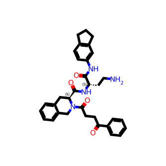 NCC[C@H](NC(=O)[C@@H]1Cc2ccccc2CN1C(=O)CCC(=O)c1ccccc1)C(=O)Nc1ccc2c(c1)CCC2